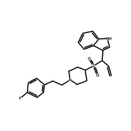 C=CC(c1c[nH]c2ccccc12)S(=O)(=O)C1CCN(CCc2ccc(F)cc2)CC1